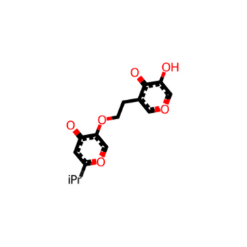 CC(C)c1cc(=O)c(OCCc2cocc(O)c2=O)co1